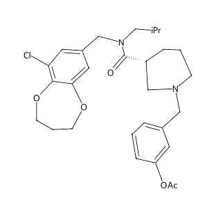 CC(=O)Oc1cccc(CN2CCC[C@@H](C(=O)N(Cc3cc(Cl)c4c(c3)OCCCO4)CC(C)C)C2)c1